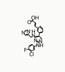 Cn1cncc1CNc1nc(Nc2ccc(F)c(Cl)c2)ncc1-c1cccc(C=CC(=O)O)c1